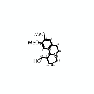 COc1cc2c(cc1OC)C1C(CO)COCN1CC2